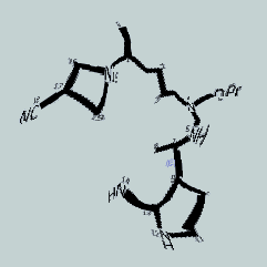 C=C(CCN(CCC)N/C(C)=C1\C=CNC1=N)N1CC(C#N)C1